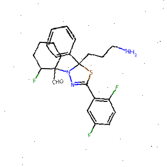 NCCCC1(c2ccccc2)SC(c2cc(F)ccc2F)=NN1C1(C=O)CCCCC1F